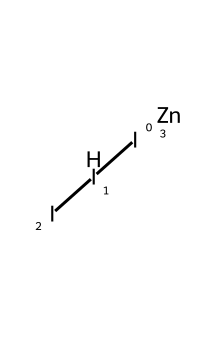 I[IH]I.[Zn]